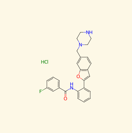 Cl.O=C(Nc1ccccc1-c1cc2ccc(CN3CCNCC3)cc2o1)c1cccc(F)c1